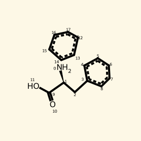 N[C@@H](Cc1ccccc1)C(=O)O.[c]1ccccc1